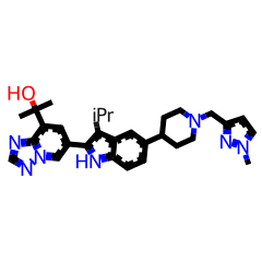 CC(C)c1c(-c2cc(C(C)(C)O)c3ncnn3c2)[nH]c2ccc(C3CCN(Cc4ccn(C)n4)CC3)cc12